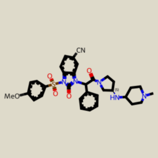 COc1ccc(S(=O)(=O)n2c(=O)n(C(C(=O)N3CC[C@H](NC4CCN(C)CC4)C3)c3ccccc3)c3cc(C#N)ccc32)cc1